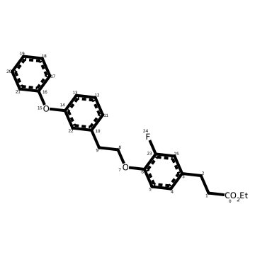 CCOC(=O)CCc1ccc(OCCc2cccc(Oc3ccccc3)c2)c(F)c1